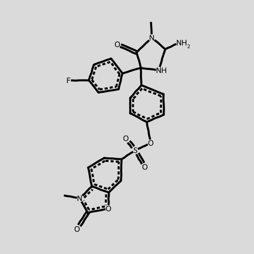 CN1C(=O)C(c2ccc(F)cc2)(c2ccc(OS(=O)(=O)c3ccc4c(c3)oc(=O)n4C)cc2)NC1N